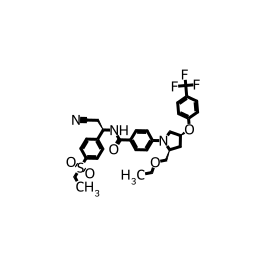 CCOC[C@@H]1C[C@H](Oc2ccc(C(F)(F)F)cc2)CN1c1ccc(C(=O)N[C@H](CC#N)c2ccc(S(=O)(=O)CC)cc2)cc1